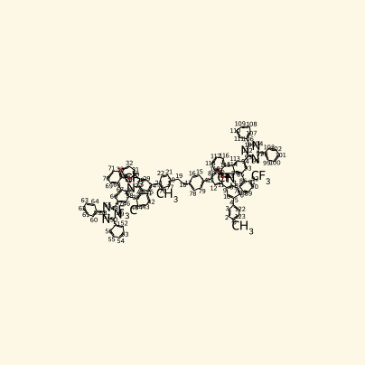 Cc1ccc(-c2ccc3c(c2)c2cc(-c4ccc(CCc5ccc(-c6ccc7c(c6)c6ccccc6n7-c6c(-c7ccccc7C(F)(F)F)cc(-c7nc(-c8ccccc8)nc(-c8ccccc8)n7)cc6-c6ccccc6C(F)(F)F)c(C)c5)cc4)ccc2n3-c2c(-c3ccccc3C(F)(F)F)cc(-c3nc(-c4ccccc4)nc(-c4ccccc4)n3)cc2-c2ccccc2C(F)(F)F)cc1